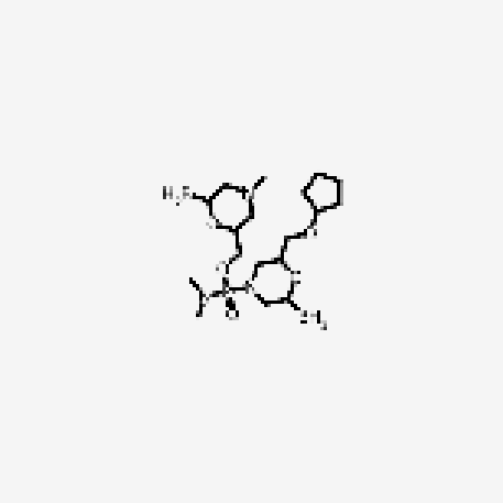 BC1CN(C)CC(COP(=O)(N(C)C)N2CC(B)OC(COC3CCCC3)C2)O1